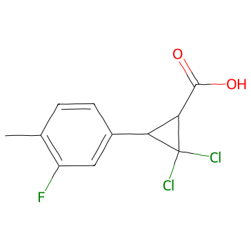 Cc1ccc(C2C(C(=O)O)C2(Cl)Cl)cc1F